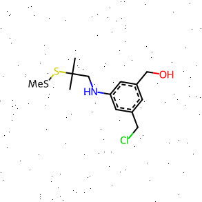 CSSC(C)(C)CNc1cc(CO)cc(CCl)c1